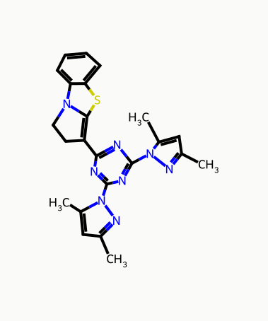 Cc1cc(C)n(-c2nc(C3=C4Sc5ccccc5N4CC3)nc(-n3nc(C)cc3C)n2)n1